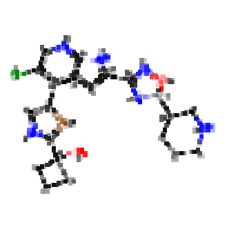 OC1(c2ncc(-c3c(Cl)cnc4[nH]c(-c5noc(C6CCCNC6)n5)cc34)s2)CCC1